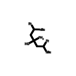 CCCCC(CC)CC(O)(P)CC(CC)CCCC